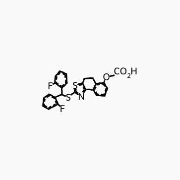 O=C(O)COc1cccc2c1CCc1sc(SC(c3ccccc3F)c3ccccc3F)nc1-2